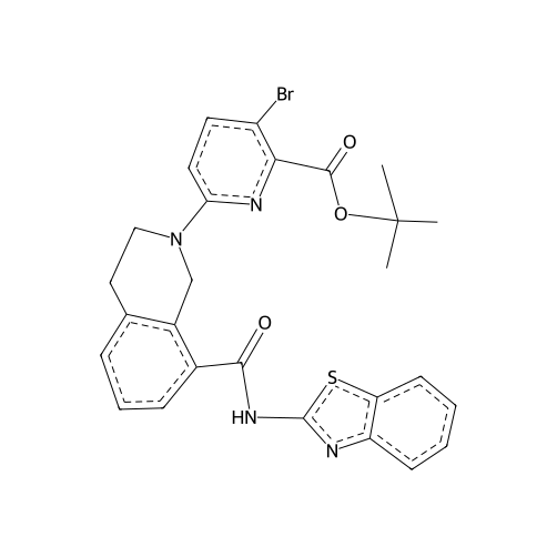 CC(C)(C)OC(=O)c1nc(N2CCc3cccc(C(=O)Nc4nc5ccccc5s4)c3C2)ccc1Br